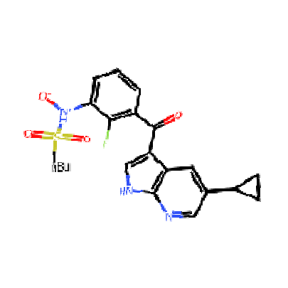 CCCCS(=O)(=O)[NH+]([O-])c1cccc(C(=O)c2c[nH]c3ncc(C4CC4)cc23)c1F